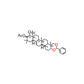 CC(=O)O[C@@H]1[C@H](OC(C)=O)C(C)(C)C[C@@H]2C3=CC[C@@H]4[C@@]5(C)CCC6OC(c7ccccc7)OC[C@@]6(C)C5CC[C@@]4(C)[C@]3(C)CC[C@]21C